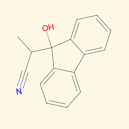 CC(C#N)C1(O)c2ccccc2-c2ccccc21